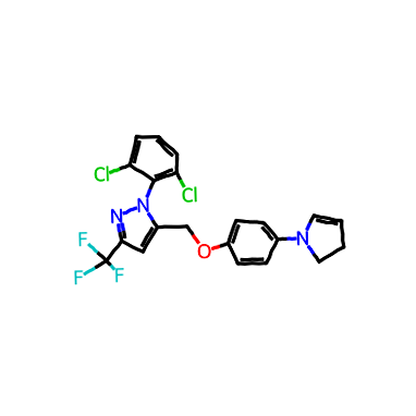 FC(F)(F)c1cc(COc2ccc(N3C=CCC3)cc2)n(-c2c(Cl)cccc2Cl)n1